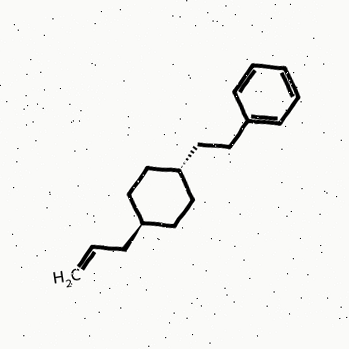 C=CC[C@H]1CC[C@H](CCc2ccccc2)CC1